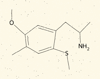 COc1cc(CC(C)N)c(SC)cc1C